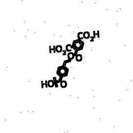 CC(C)(O)C(=O)c1ccc(CCOC(=O)c2ccc(C(=O)O)cc2C(=O)O)cc1